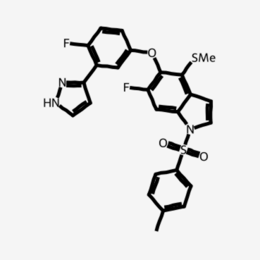 CSc1c(Oc2ccc(F)c(-c3cc[nH]n3)c2)c(F)cc2c1ccn2S(=O)(=O)c1ccc(C)cc1